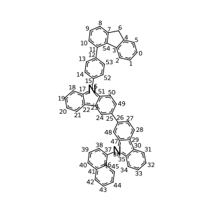 c1ccc2c(c1)Cc1cccc(-c3ccc(-n4c5ccccc5c5cc(-c6ccc7c8ccccc8n(-c8cccc9ccccc89)c7c6)ccc54)cc3)c1-2